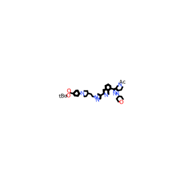 CC(=O)N1CCc2c(c(-c3cccc4cc(-c5cnn(CCC6CCN(c7ccc(C(=O)OC(C)(C)C)cc7)CC6)c5)ncc34)nn2C2CCOCC2)C1